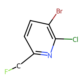 FCc1ccc(Br)c(Cl)n1